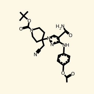 CC(=O)Oc1ccc(Nc2nn(C3(CC#N)CCN(C(=O)OC(C)(C)C)CC3)cc2C(N)=O)cc1